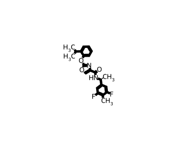 Cc1c(F)cc([C@@H](C)NC(=O)c2coc(Oc3ccccc3C(C)C)n2)cc1F